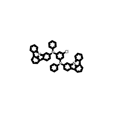 Clc1cc(N(c2ccccc2)c2ccc3c4cccc5c6ccccc6n(c3c2)c54)cc(N(c2ccccc2)c2ccc3c4cccc5c6ccccc6n(c3c2)c54)c1